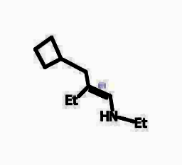 CCN/C=C(\CC)CC1CCC1